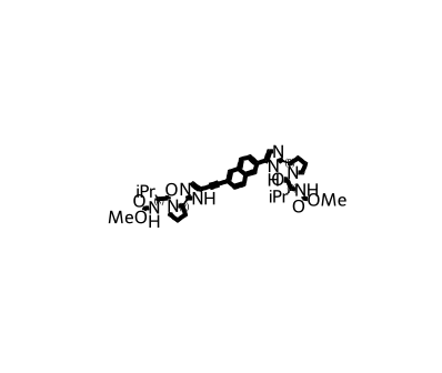 COC(=O)N[C@@H](C(=O)N1CCC[C@@H]1c1ncc(C#Cc2ccc3cc(-c4cnc([C@H]5CCCN5C(=O)[C@H](NC(=O)OC)C(C)C)[nH]4)ccc3c2)[nH]1)C(C)C